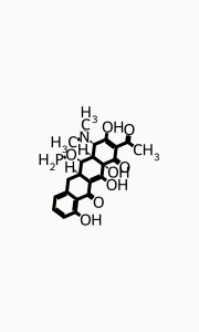 CC(=O)C1=C(O)[C@@H](N(C)C)[C@@H]2[C@@H](OP)[C@@H]3Cc4cccc(O)c4C(=O)C3=C(O)[C@]2(O)C1=O